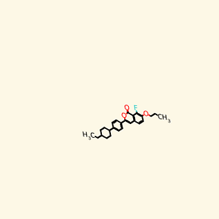 CCCOc1ccc2cc(-c3ccc(C4CCC(CC)CC4)cc3)oc(=O)c2c1F